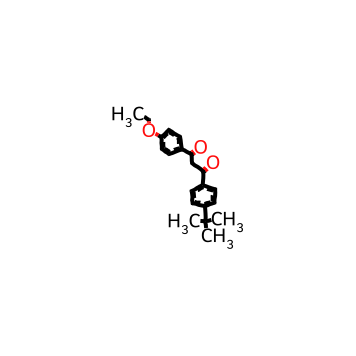 CCOc1ccc(C(=O)CC(=O)c2ccc(C(C)(C)C)cc2)cc1